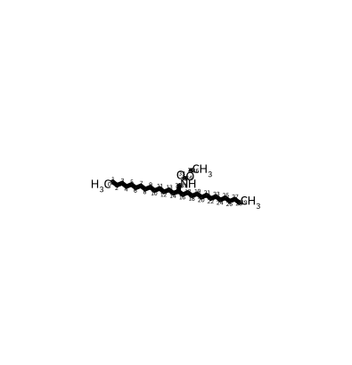 CCCCCCCCCCCCCCCC(CCCCCCCCCCCCCC)CNC(=O)OCC